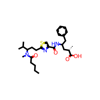 CCCCC(=O)N(C)C(CCc1nc(C(=O)NC(Cc2ccccc2)C[C@H](C)C(=O)O)cs1)C(C)C